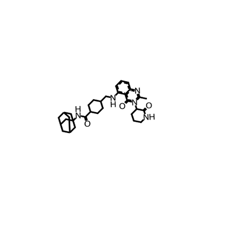 Cc1nc2cccc(NCC3CCC(C(=O)NC45CC6CC(CC(C6)C4)C5)CC3)c2c(=O)n1C1CCCNC1=O